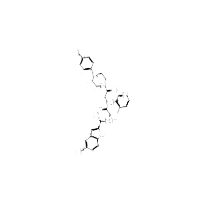 O=C(N[C@@H](Cc1ccncc1)C(=O)NCC(=O)N1CCN(c2ccc(Cl)cc2)CC1)c1cc2cc(Cl)ccc2o1